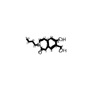 O=C1Cc2cc(CO)c(O)cc2C=CN1CCCI